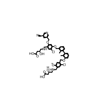 COc1cc(COc2cccc(-c3cccc(COc4cc(OCc5cncc(C#N)c5)c(CNC[C@@H](O)CC(=O)O)cc4Cl)c3C)c2C)c(Cl)cc1CNC[C@@H](O)CC(=O)O